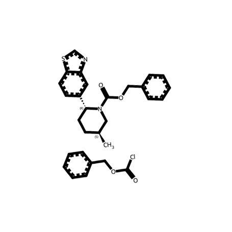 C[C@H]1CC[C@H](c2ccc3scnc3c2)N(C(=O)OCc2ccccc2)C1.O=C(Cl)OCc1ccccc1